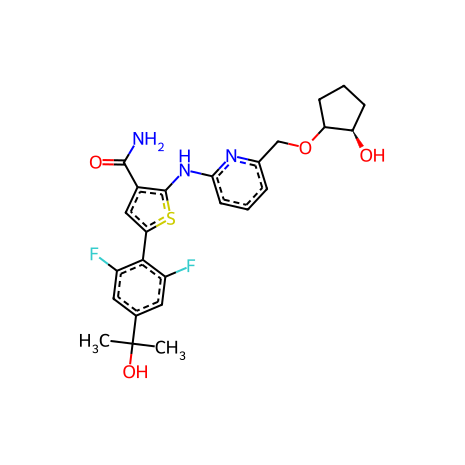 CC(C)(O)c1cc(F)c(-c2cc(C(N)=O)c(Nc3cccc(COC4CCC[C@H]4O)n3)s2)c(F)c1